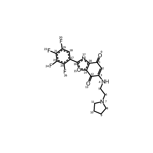 O=C1C=C(NCCN2CCCC2)C(=O)c2oc(-c3cc(F)c(F)c(F)c3F)nc21